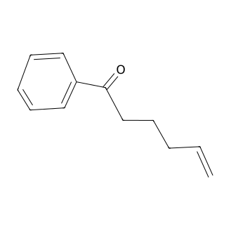 C=CCCCC(=O)c1ccccc1